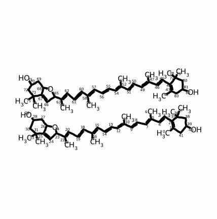 CC1=C(/C=C/C(C)=C/C=C/C(C)=C/C=C/C=C(C)/C=C/C=C(\C)C2C=C3C(CC(O)CC3(C)C)O2)C(C)(C)CC(O)C1.CC1=C(/C=C/C(C)=C/C=C/C(C)=C/C=C/C=C(C)/C=C/C=C(\C)C2C=C3C(CC(O)CC3(C)C)O2)C(C)(C)CC(O)C1